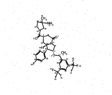 C[C@@H](O[C@H]1CN2C(=O)CC(C(=O)N3CCC(C)(N)C3)C[C@H]2[C@@H]1c1ccc(F)cc1)c1cc(C(F)(F)F)cc(C(F)(F)F)c1